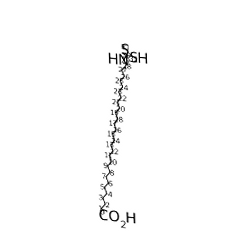 O=C(O)CCCCCCCCCCCCCCCCCCCCCCCCCCCCNC(=S)S